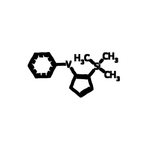 C[Si](C)(C)C1=[C]([V][c]2ccccc2)CC=C1